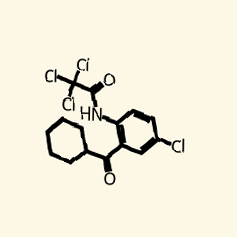 O=C(c1cc(Cl)ccc1NC(=O)C(Cl)(Cl)Cl)C1CCCCC1